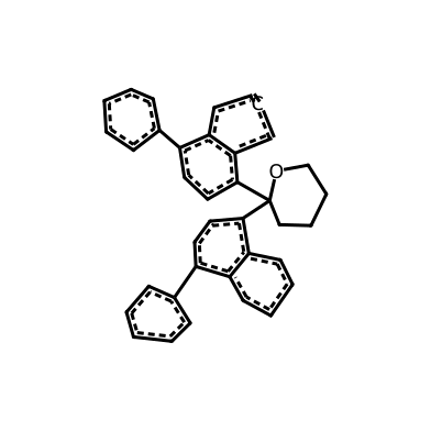 c1ccc(-c2ccc(C3(c4ccc(-c5ccccc5)c5ccccc45)CCCCO3)c3ccccc23)cc1